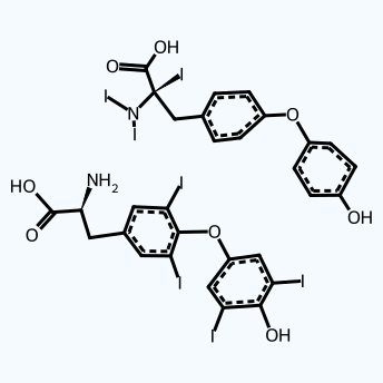 N[C@@H](Cc1cc(I)c(Oc2cc(I)c(O)c(I)c2)c(I)c1)C(=O)O.O=C(O)[C@](I)(Cc1ccc(Oc2ccc(O)cc2)cc1)N(I)I